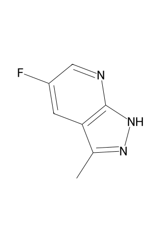 Cc1n[nH]c2ncc(F)cc12